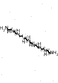 NCCNCCNCCNCCNCCNCCNCCNCCN